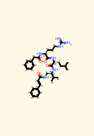 CC(C)CC[C@@H](NC(=O)[C@H](CCCNC(=N)N)NC(=O)Cc1ccccc1)C(=O)N[C@H](CNC(=O)/C=C/c1ccccc1)C(C)C